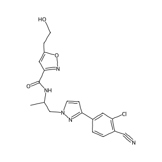 CC(Cn1ccc(-c2ccc(C#N)c(Cl)c2)n1)NC(=O)c1cc(CCO)on1